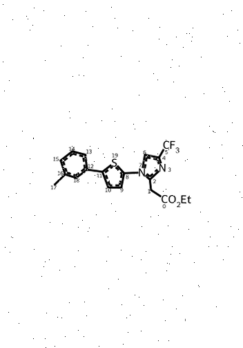 CCOC(=O)Cc1nc(C(F)(F)F)cn1-c1ccc(-c2cccc(C)c2)s1